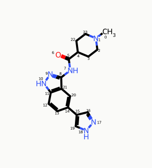 CN1CCC(C(=O)Nc2n[nH]c3ccc(-c4cn[nH]c4)cc23)CC1